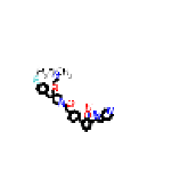 CN(C)CCOCC1(Cc2ccc(F)cc2)CCN(C(=O)Cc2ccc(-c3cccc(-c4cc5ccncc5[nH]4)c3O)cc2)CC1